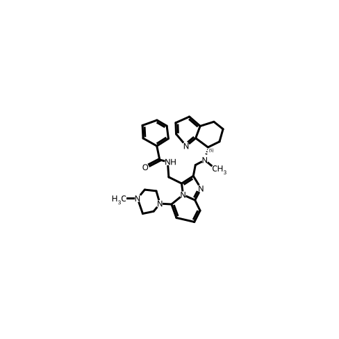 CN1CCN(c2cccc3nc(CN(C)[C@H]4CCCc5cccnc54)c(CNC(=O)c4ccccc4)n23)CC1